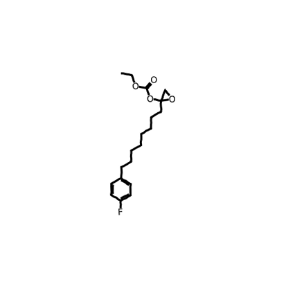 CCOC(=O)OC1(CCCCCCCCc2ccc(F)cc2)CO1